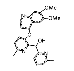 COc1cc2nccc(Oc3ccc(C)nc3C(O)c3cccc(C)n3)c2cc1OC